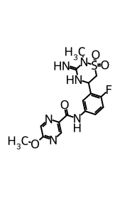 COc1cnc(C(=O)Nc2ccc(F)c(C3CS(=O)(=O)N(C)C(=N)N3)c2)cn1